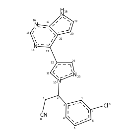 N#CCC(c1cccc(Cl)c1)n1cc(-c2ncnc3[nH]ccc23)cn1